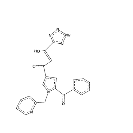 O=C(C=C(O)c1nn[nH]n1)c1cc(C(=O)c2ccccc2)n(Cc2ccccn2)c1